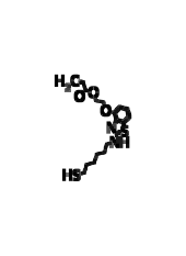 C=CC(=O)OCCOc1cccc2sc(NCCCCCCS)nc12